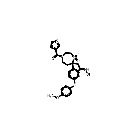 COc1ccc(Oc2ccc(C3(CC(=O)NO)CCN(C(=O)c4ccsc4)CCS3(=O)=O)cc2)cc1